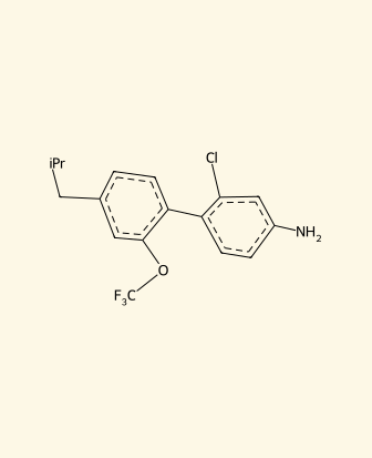 CC(C)Cc1ccc(-c2ccc(N)cc2Cl)c(OC(F)(F)F)c1